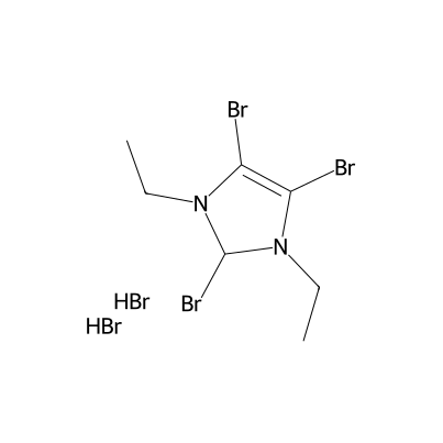 Br.Br.CCN1C(Br)=C(Br)N(CC)C1Br